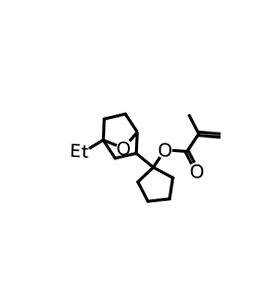 C=C(C)C(=O)OC1(C2CC3(CC)CCC2O3)CCCC1